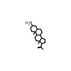 C=C(C)C1CCC2C3CCC4CC(N)CCC4(C)C3CCC12C